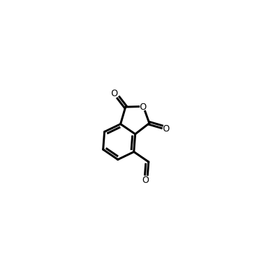 O=Cc1cccc2c1C(=O)OC2=O